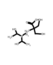 CC(CO)(CO)C(=O)O.CC(O)N(C)C(C)O